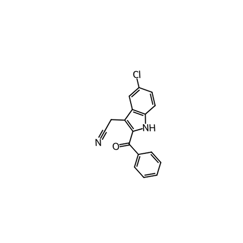 N#CCc1c(C(=O)c2ccccc2)[nH]c2ccc(Cl)cc12